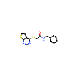 O=C(CSc1ncnc2sccc12)NCc1ccccc1